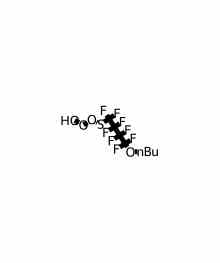 CCCCOC(F)(F)C(F)(F)C(F)(F)C(F)(F)SOOO